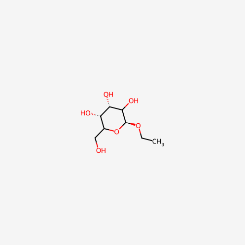 CCO[C@H]1OC(CO)[C@H](O)[C@H](O)C1O